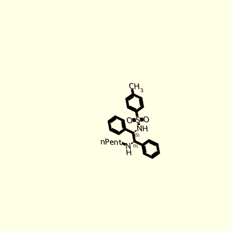 CCCCCN[C@@H](c1ccccc1)[C@@H](NS(=O)(=O)c1ccc(C)cc1)c1ccccc1